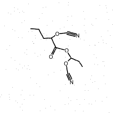 CCCC(OC#N)C(=O)OC(CC)OC#N